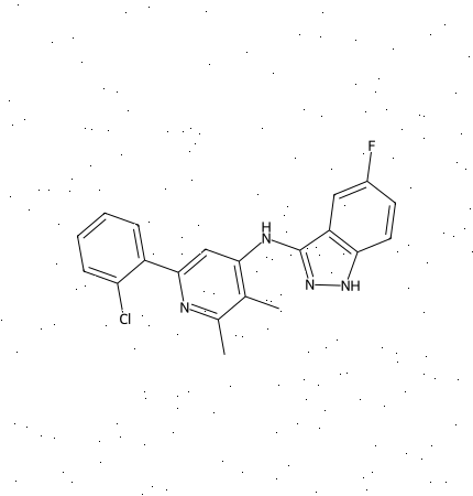 Cc1nc(-c2ccccc2Cl)cc(Nc2n[nH]c3ccc(F)cc23)c1C